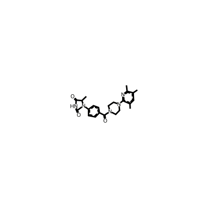 Cc1cc(C)c(N2CCN(C(=O)c3ccc(N4C(=O)NC(=O)C4C)cc3)CC2)nc1C